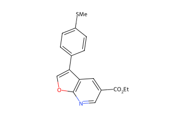 CCOC(=O)c1cnc2occ(-c3ccc(SC)cc3)c2c1